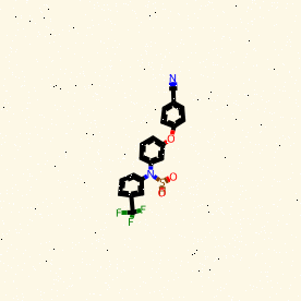 N#Cc1ccc(Oc2cccc(N(c3cccc(C(F)(F)F)c3)[SH](=O)=O)c2)cc1